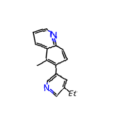 CCc1cncc(-c2ccc3ncccc3c2C)c1